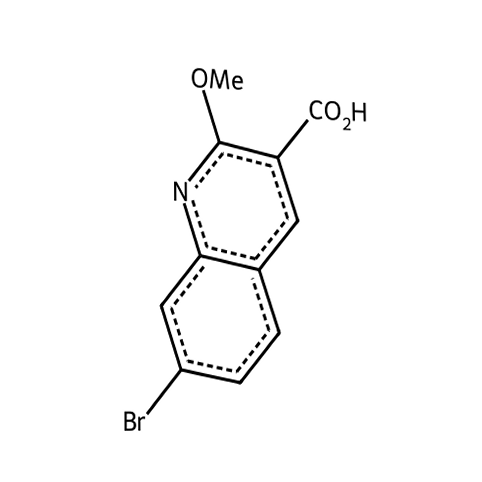 COc1nc2cc(Br)ccc2cc1C(=O)O